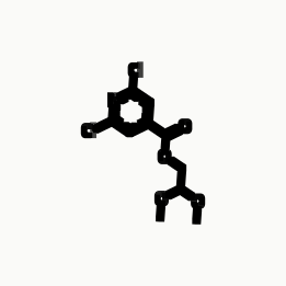 COC(COC(=O)c1cc(Cl)nc(Cl)c1)OC